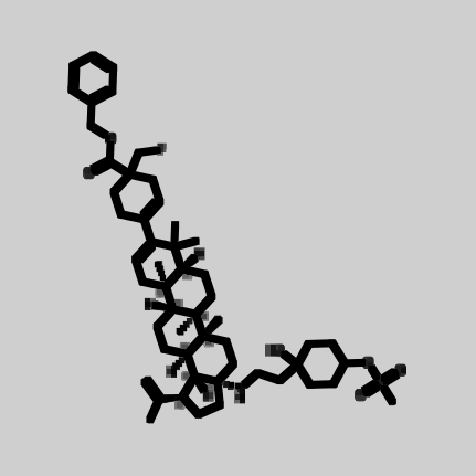 C=C(C)[C@@H]1CC[C@]2(NCCC3(O)CCC(OS(C)(=O)=O)CC3)CC[C@]3(C)[C@H](CC[C@@H]4[C@@]5(C)CC=C(C6=CCC(CF)(C(=O)OCc7ccccc7)CC6)C(C)(C)[C@@H]5CC[C@]43C)[C@@H]12